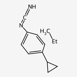 CCC.N=C=Nc1ccc(C2CC2)cc1